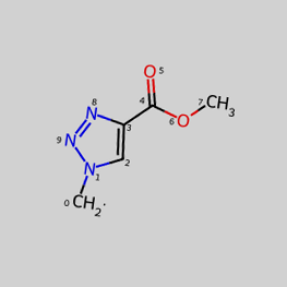 [CH2]n1cc(C(=O)OC)nn1